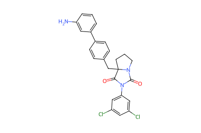 Nc1cccc(-c2ccc(CC34CCCN3C(=O)N(c3cc(Cl)cc(Cl)c3)C4=O)cc2)c1